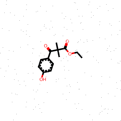 CCOC(=O)C(C)(C)C(=O)c1ccc(O)cc1